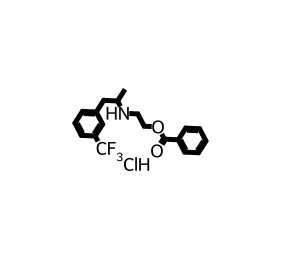 CC(Cc1cccc(C(F)(F)F)c1)NCCOC(=O)c1ccccc1.Cl